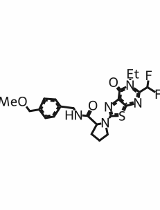 CCn1c(C(F)F)nc2sc(N3CCCC3C(=O)NCc3ccc(COC)cc3)nc2c1=O